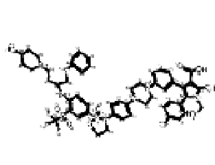 CCn1c(C)c(C(=O)O)c(-c2cccc(N3CCN(c4ccc(N5CCO[P@@]5(=O)c5ccc(NC(CCN6CCC(O)CC6)CSc6ccccc6)c(S(=O)(=O)C(F)(F)F)c5)cc4)CC3)c2)c1-c1ccc(Cl)cc1